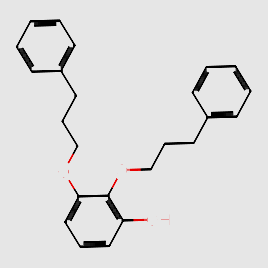 Oc1cccc(OCCCc2ccccc2)c1OCCCc1ccccc1